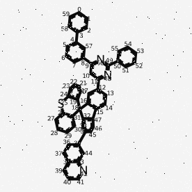 c1ccc(-c2cccc(-c3cc(-c4ccc5c(c4)C4(c6ccccc6Sc6ccccc64)c4cc(-c6ccc7cccnc7c6)ccc4-5)nc(-c4ccccc4)n3)c2)cc1